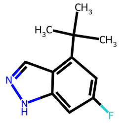 CC(C)(C)c1cc(F)cc2[nH]ncc12